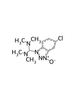 CN(C)C(N(C)C)n1n[n+]([O-])c2cc(Cl)ccc21